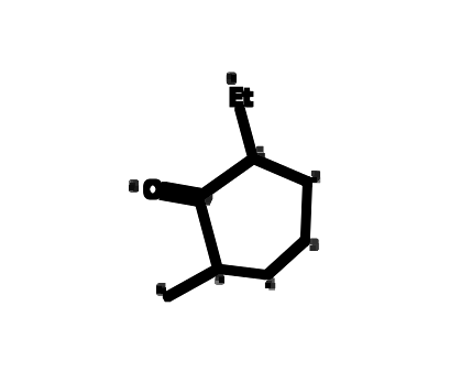 CCC1CCCC(C)C1=O